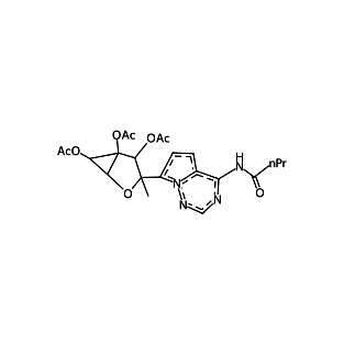 CCCC(=O)Nc1ncnn2c(C3(C)OC4C(OC(C)=O)C4(OC(C)=O)C3OC(C)=O)ccc12